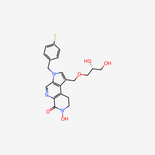 O=C1c2ncc3c(c(COC[C@H](O)CO)cn3Cc3ccc(F)cc3)c2CCN1O